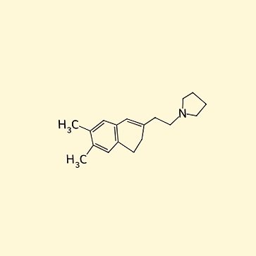 Cc1cc2c(cc1C)CCC(CCN1CCCC1)=C2